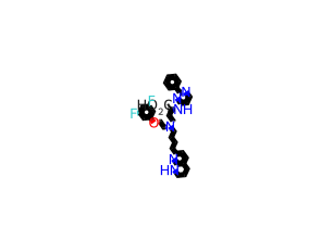 O=C(O)[C@H](CCN(CCCCc1ccc2c(n1)NCCC2)CCOc1cc(F)cc(F)c1)Nc1ccnc(-c2ccccc2)n1